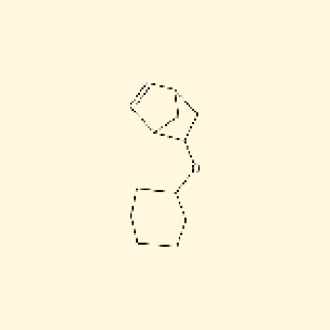 C1=CC2CC1CC2OC1CCCCC1